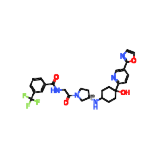 O=C(NCC(=O)N1CC[C@H](NC2CCC(O)(c3ccc(-c4ncco4)cn3)CC2)C1)c1cccc(C(F)(F)F)c1